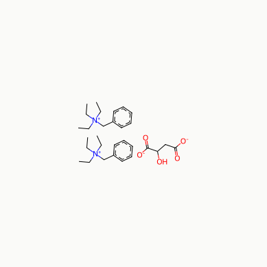 CC[N+](CC)(CC)Cc1ccccc1.CC[N+](CC)(CC)Cc1ccccc1.O=C([O-])CC(O)C(=O)[O-]